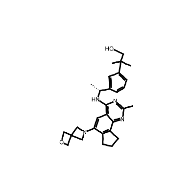 Cc1nc(N[C@H](C)c2cccc(C(C)(C)CO)c2)c2cc(N3CC4(COC4)C3)c3c(c2n1)CCC3